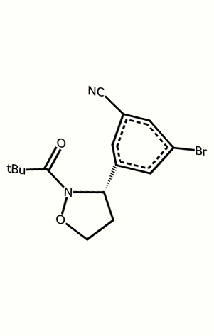 CC(C)(C)C(=O)N1OCC[C@H]1c1cc(Br)cc(C#N)c1